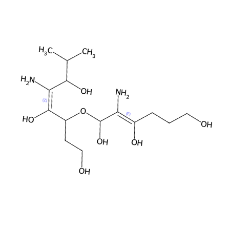 CC(C)C(O)/C(N)=C(/O)C(CCO)OC(O)/C(N)=C(\O)CCCO